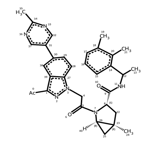 CC(=O)c1nn(CC(=O)N2[C@H](C(=O)NC(C)c3cccc(C)c3C)C[C@@]3(C)C[C@@H]23)c2ccc(-c3cnc(C)nc3)cc12